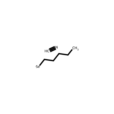 C#N.CCCCC[Se]